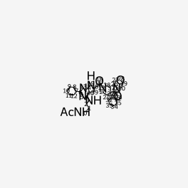 CC(=O)NCCNc1nc(-c2ccccc2)nc2[nH]c(C(=O)N3CCC(C(=O)N4CCOCC4)(c4ccccc4)CC3)cc12